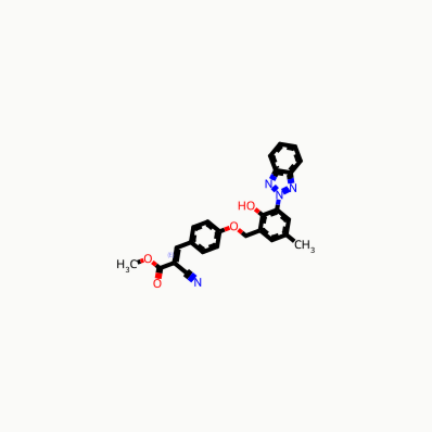 COC(=O)/C(C#N)=C/c1ccc(OCc2cc(C)cc(-n3nc4ccccc4n3)c2O)cc1